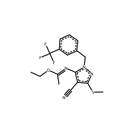 CCO/C(C)=N/c1c(C#N)c(SC)nn1Cc1cccc(C(F)(F)F)c1